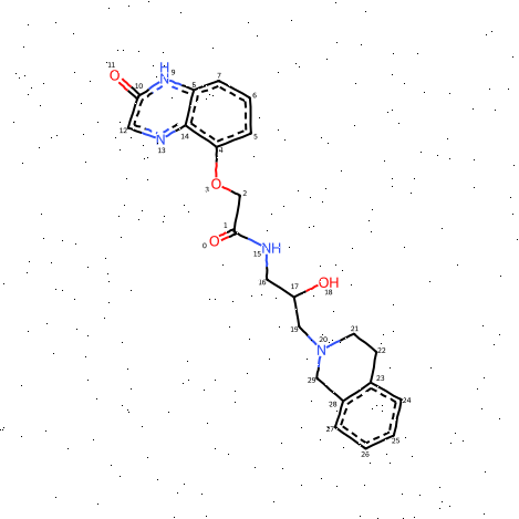 O=C(COc1cccc2[nH]c(=O)cnc12)NCC(O)CN1CCc2ccccc2C1